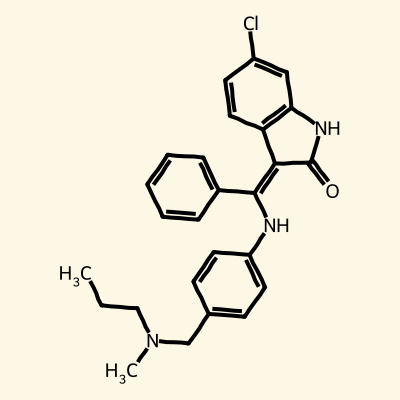 CCCN(C)Cc1ccc(N/C(=C2\C(=O)Nc3cc(Cl)ccc32)c2ccccc2)cc1